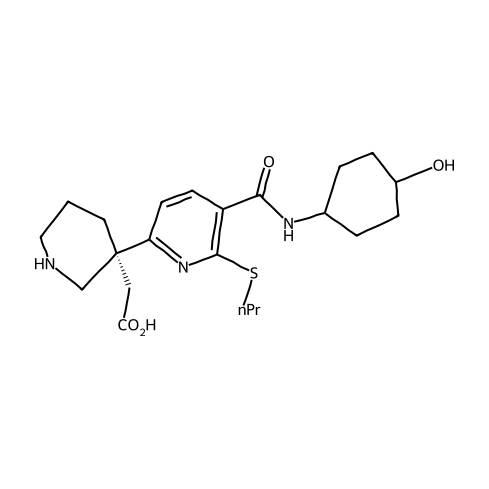 CCCSc1nc([C@]2(CC(=O)O)CCCNC2)ccc1C(=O)NC1CCC(O)CC1